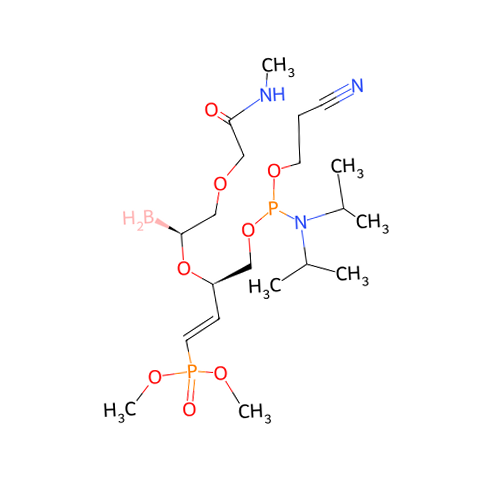 B[C@@H](COCC(=O)NC)O[C@H](/C=C/P(=O)(OC)OC)COP(OCCC#N)N(C(C)C)C(C)C